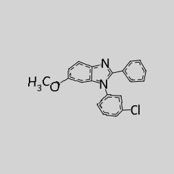 COc1ccc2nc(-c3ccccc3)n(-c3cccc(Cl)c3)c2c1